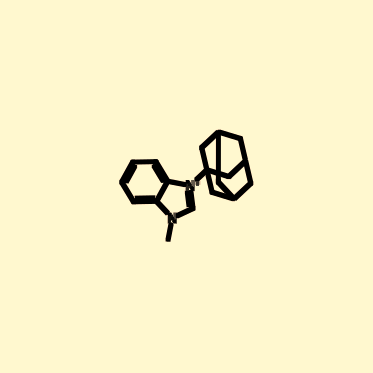 Cn1c[n+](C23CC4CC(CC(C4)C2)C3)c2ccccc21